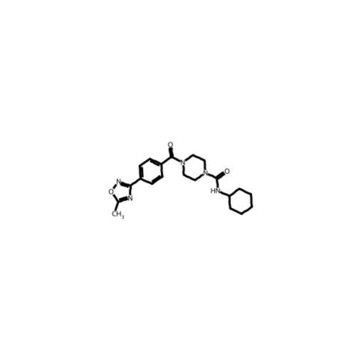 Cc1nc(-c2ccc(C(=O)N3CCN(C(=O)NC4CCCCC4)CC3)cc2)no1